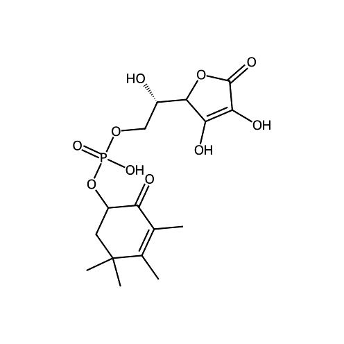 CC1=C(C)C(C)(C)CC(OP(=O)(O)OC[C@H](O)C2OC(=O)C(O)=C2O)C1=O